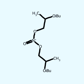 CC(C)COC(C)CO[N+](=O)OCC(C)OCC(C)C